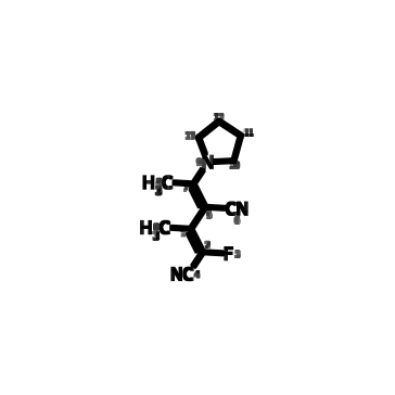 CC(=C(/F)C#N)/C(C#N)=C(\C)N1CCCC1